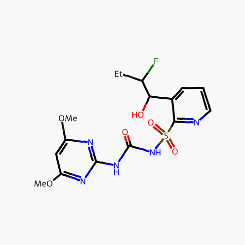 CCC(F)C(O)c1cccnc1S(=O)(=O)NC(=O)Nc1nc(OC)cc(OC)n1